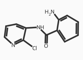 Nc1ccccc1C(=O)Nc1cccnc1Cl